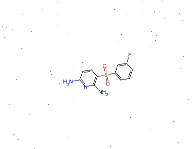 Nc1ccc(S(=O)(=O)c2cccc(F)c2)c(N)n1